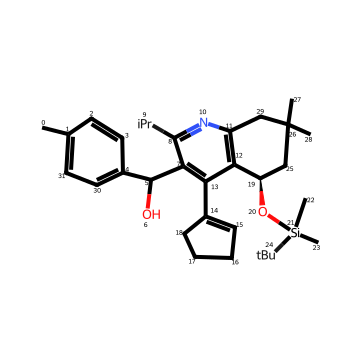 Cc1ccc(C(O)c2c(C(C)C)nc3c(c2C2=CCCC2)[C@H](O[Si](C)(C)C(C)(C)C)CC(C)(C)C3)cc1